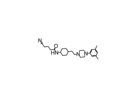 Cc1cc(C)cc(N2CCN(CCC3CCC(NC(=O)CCCC#N)CC3)CC2)c1